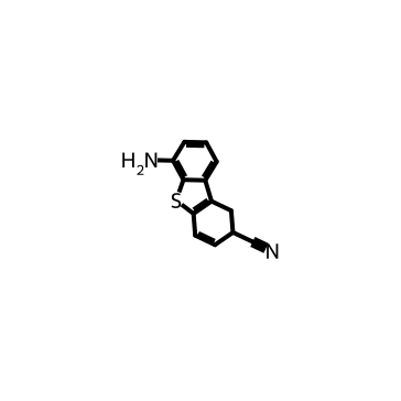 N#CC1C=Cc2sc3c(N)cccc3c2C1